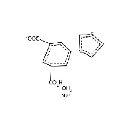 O.O=C([O-])c1cccc(C(=O)O)c1.[Na+].c1cscn1